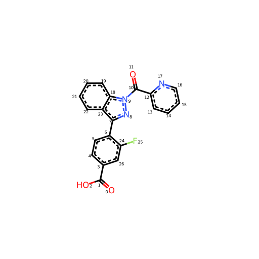 O=C(O)c1ccc(-c2nn(C(=O)c3ccccn3)c3ccccc23)c(F)c1